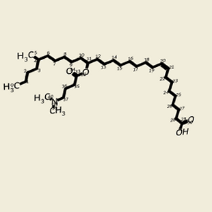 CCCCC(C)CCCCCC(CCCCCCCC/C=C\CCCCCCCC(=O)O)OC(=O)CCCN(C)C